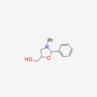 CC(C)N1CC(CO)OC1c1ccccc1